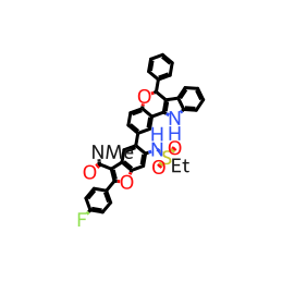 CCS(=O)(=O)Nc1cc2oc(-c3ccc(F)cc3)c(C(=O)NC)c2cc1-c1ccc2c(c1)-c1[nH]c3ccccc3c1C(c1ccccc1)O2